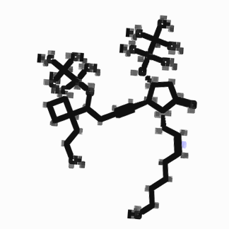 CCCC1(C(CC#C[C@H]2[C@H](O[Si](C)(C)C(C)(C)C)CC(=O)[C@@H]2C/C=C\CCCCO)O[Si](C)(C)C(C)(C)C)CCC1